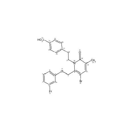 CCc1cccc(OCc2c(Br)cc(C)c(=O)n2CCc2ccc(C(=O)O)cc2)c1